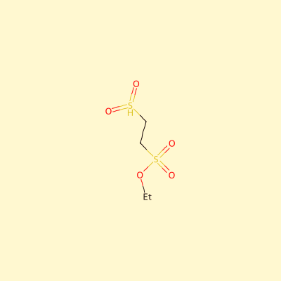 CCOS(=O)(=O)CC[SH](=O)=O